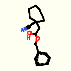 N#CC1(CC(O)OCc2ccccc2)CCCCC1